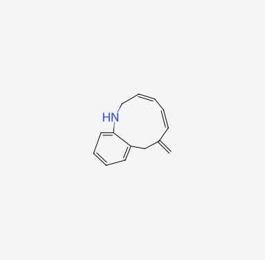 C=C1/C=C\C=C/CNc2ccccc2C1